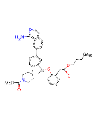 COCCCOC(=O)Cc1ccccc1O[C@@H]1CC2(CCN(C(=O)OC)CC2)c2ccc(-c3ccc4ccnc(N)c4c3)cc21